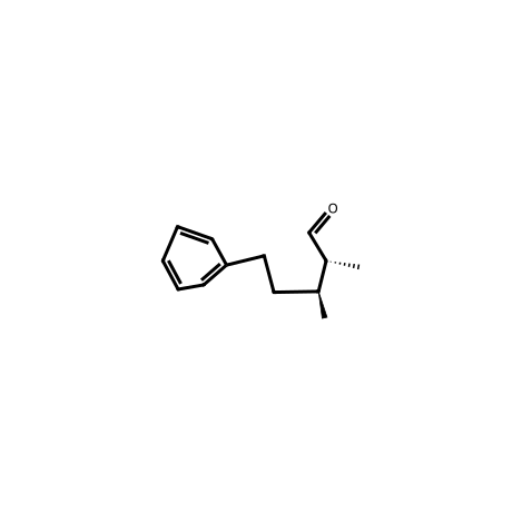 C[C@@H](C=O)[C@@H](C)CCc1ccccc1